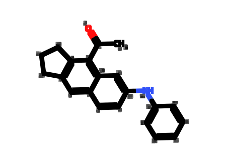 CC(=O)c1c2c(cc3ccc(Nc4ccccc4)cc13)CCC2